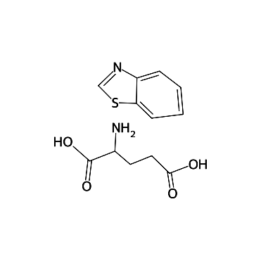 NC(CCC(=O)O)C(=O)O.c1ccc2scnc2c1